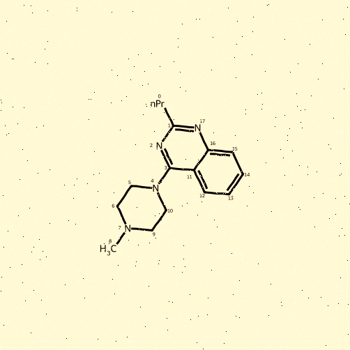 CCCc1nc(N2CCN(C)CC2)c2ccccc2n1